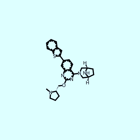 CN1CCC[C@H]1COc1nc(N2C[C@H]3CC[C@@H](C2)N3)c2ccc(-c3cc4ccccc4s3)cc2n1